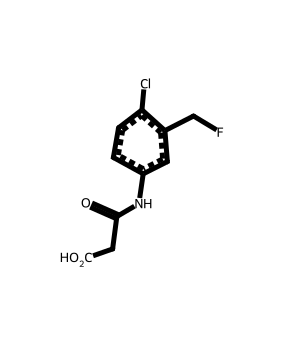 O=C(O)CC(=O)Nc1ccc(Cl)c(CF)c1